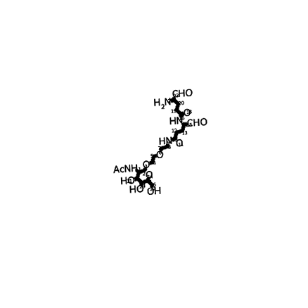 CC(=O)NC1C(OCCOCCNC(=O)CCC(C=O)NC(=O)CCC(N)C=O)OC(CO)C(O)C1O